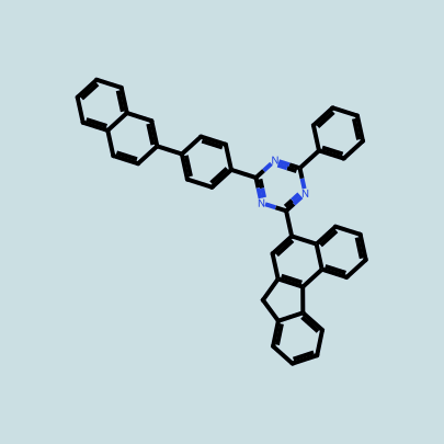 c1ccc(-c2nc(-c3ccc(-c4ccc5ccccc5c4)cc3)nc(-c3cc4c(c5ccccc35)-c3ccccc3C4)n2)cc1